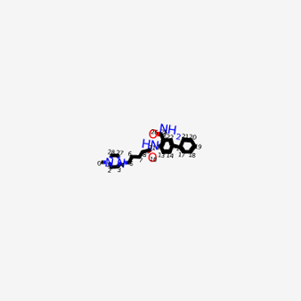 CN1CCN(CCCCC(=O)Nc2ccc(-c3ccccc3)cc2C(N)=O)CC1